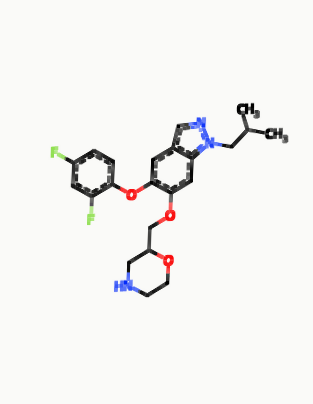 CC(C)Cn1ncc2cc(Oc3ccc(F)cc3F)c(OCC3CNCCO3)cc21